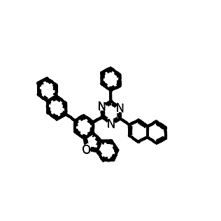 C1=CC2=CC(c3nc(-c4ccccc4)nc(-c4cc(-c5ccc6ccccc6c5)cc5oc6ccccc6c45)n3)=CCC2C=C1